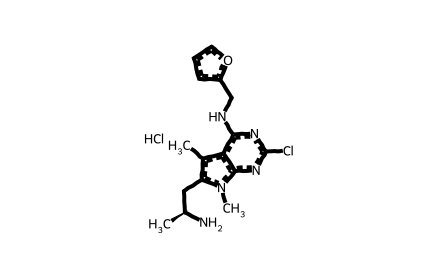 Cc1c(C[C@H](C)N)n(C)c2nc(Cl)nc(NCc3ccco3)c12.Cl